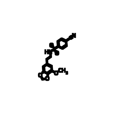 COc1cc(CCNS(=O)(=O)c2ccc(C#N)cc2)cc2c1OCO2